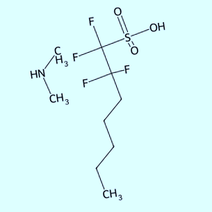 CCCCCC(F)(F)C(F)(F)S(=O)(=O)O.CNC